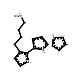 CCCCCCCCCCCCCCc1ccsc1-c1cccs1.c1ccsc1